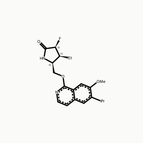 CC[C@@H]1[C@H](F)C(=O)N[C@@H]1COc1nccc2cc(C(C)C)c(OC)cc12